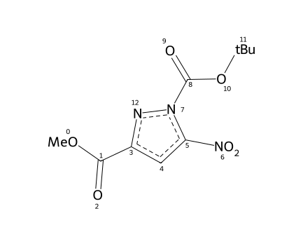 COC(=O)c1cc([N+](=O)[O-])n(C(=O)OC(C)(C)C)n1